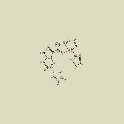 Cn1cc(-c2cc3c(-c4cc5c(-c6ccsc6)cccc5[nH]4)n[nH]c3cn2)cn1